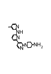 Cc1ccnc(Nc2cccc(-c3ccnc(N4CCC(N)CC4)c3)n2)c1